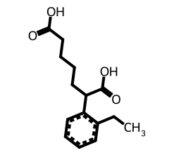 CCc1ccccc1C(CCCCC(=O)O)C(=O)O